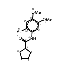 COc1cc(NC(=O)C2CCCC2)c(C(C)=O)cc1OC